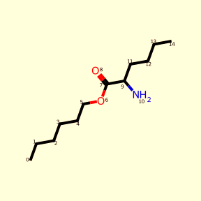 CCCCCCOC(=O)C(N)CCCC